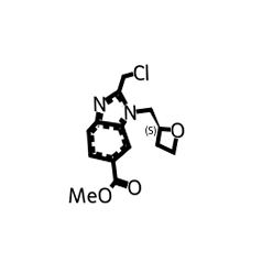 COC(=O)c1ccc2nc(CCl)n(C[C@@H]3CCO3)c2c1